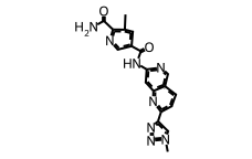 Cc1cc(C(=O)Nc2cc3nc(-c4cn(C)nn4)ccc3cn2)cnc1C(N)=O